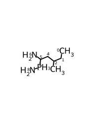 CCC(C)CC(N)PN